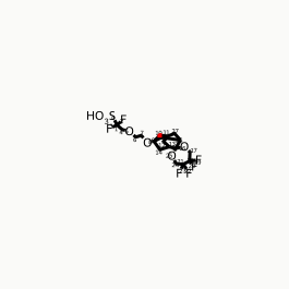 O=S(=O)(O)C(F)(F)COCCOC12CC3CC(C1)C1(OCC(F)(F)C(F)(F)CO1)C(C3)C2